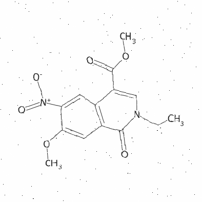 CCn1cc(C(=O)OC)c2cc([N+](=O)[O-])c(OC)cc2c1=O